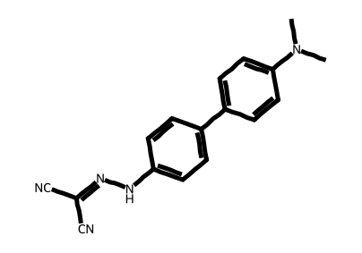 CN(C)c1ccc(-c2ccc(NN=C(C#N)C#N)cc2)cc1